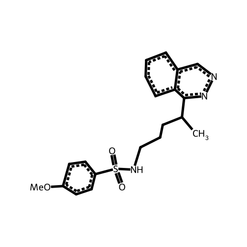 COc1ccc(S(=O)(=O)NCCCC(C)c2nncc3ccccc23)cc1